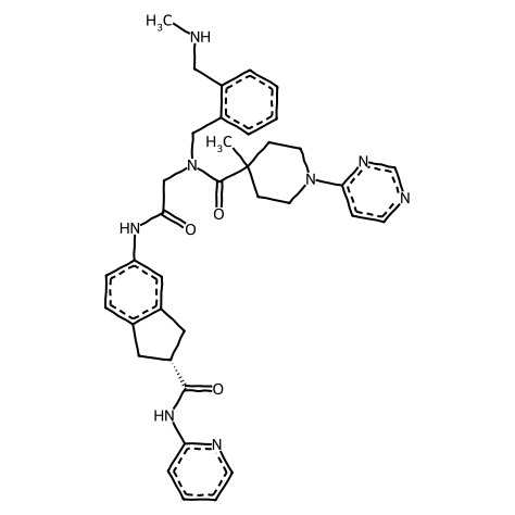 CNCc1ccccc1CN(CC(=O)Nc1ccc2c(c1)C[C@H](C(=O)Nc1ccccn1)C2)C(=O)C1(C)CCN(c2ccncn2)CC1